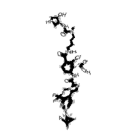 CN(CCCCNC(=O)c1ccc(NC(=O)c2ncc(-c3cn([C@@H]4CC4(F)F)nc3C(F)(F)F)n2C)cc1Cl)C(=O)N[C@H]1CNC[C@@H]1O.O=CO